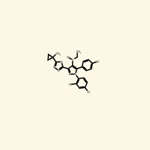 CC[S+]([O-])c1c(-c2nnc(C3(C)CC3)o2)nn(-c2ccc(Cl)cc2Cl)c1-c1ccc(Cl)cc1